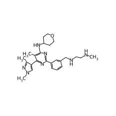 CNCCNCc1cccc(-c2nc(NC3CCOCC3)c(C)c(-c3cn(C)nc3C)n2)c1